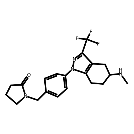 CNC1CCc2c(c(C(F)(F)F)nn2-c2ccc(CN3CCCC3=O)cc2)C1